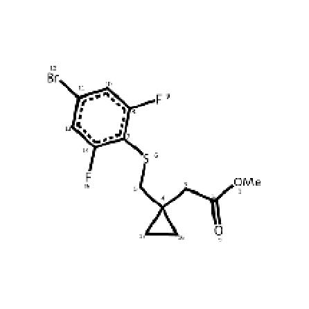 COC(=O)CC1(CSc2c(F)cc(Br)cc2F)CC1